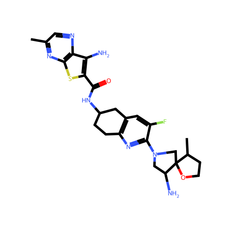 Cc1cnc2c(N)c(C(=O)NC3CCc4nc(N5CC(N)C6(C5)OCCC6C)c(F)cc4C3)sc2n1